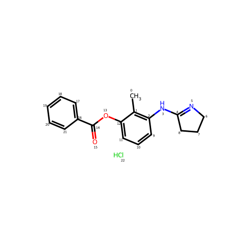 Cc1c(NC2=NCCC2)cccc1OC(=O)c1ccccc1.Cl